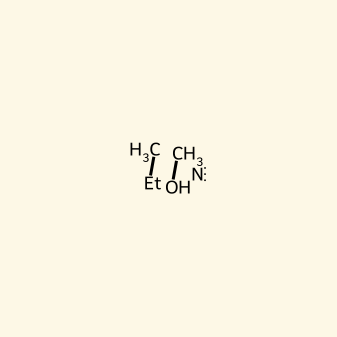 CCC.CO.[N]